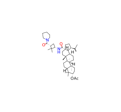 C=C(C)[C@@H]1CC[C@]2(C(=O)N[C@H]3C[C@@H](C(=O)N4CCCCC4)C3(C)C)CC[C@]3(C)[C@H](CC[C@@H]4[C@@]5(C)CC[C@H](OC(C)=O)C(C)(C)[C@@H]5CC[C@]43C)[C@@H]12